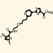 CC(C)(C)OC(=O)c1csc(-c2ccnc(CCCOCCNC(=O)c3nn(I)cc3N)c2)n1